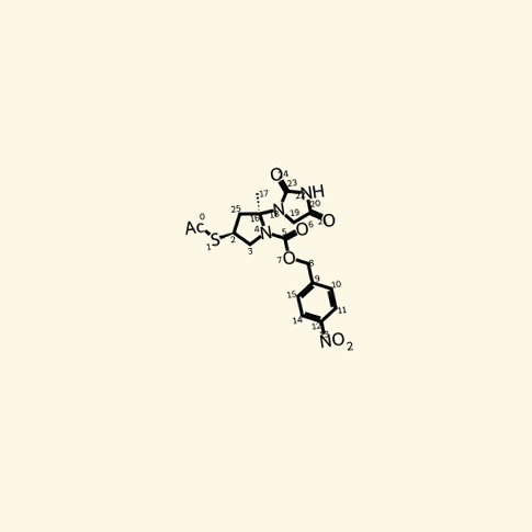 CC(=O)S[C@@H]1CN(C(=O)OCc2ccc([N+](=O)[O-])cc2)[C@](C)(N2CC(=O)NC2=O)C1